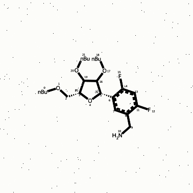 CCCCOC[C@H]1O[C@@H](c2cc(CN)c(F)cc2F)C(OCCCC)C1OCCCC